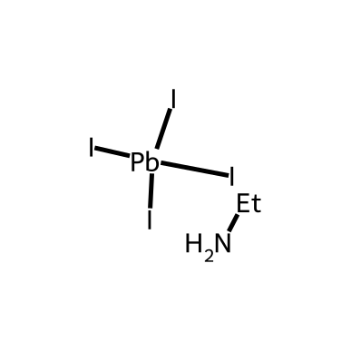 CCN.[I][Pb]([I])([I])[I]